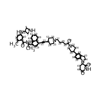 Cc1ccc(NC2CNC2)cc1C(=O)NC(C)c1ccc(C#CC2CCN(CCCCC(=O)N3CCC(c4ccc5c(c4)CCN5[C@H]4CCC(=O)NC4=O)CC3)CC2)c2ccccc12